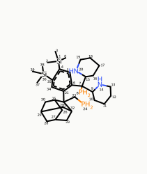 C[Si](C)(C)c1cc(C(P)(C2CCCCN2)C2CCCCN2)c(C2(CP)C3CC4CC(C3)CC2C4)cc1[Si](C)(C)C